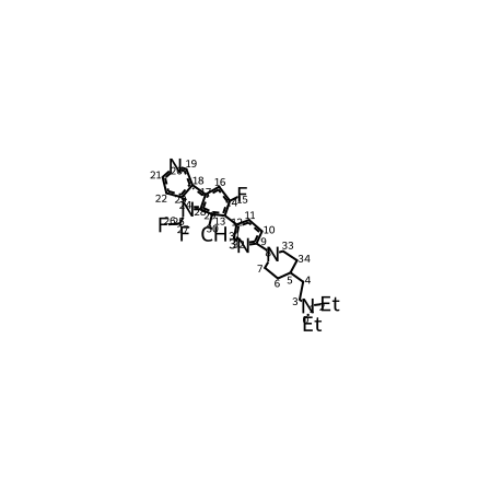 CCN(CC)CCC1CCN(c2ccc(-c3c(F)cc4c5cnccc5n(C(F)F)c4c3C)cn2)CC1